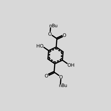 CCCCOC(=O)c1cc(O)c(C(=O)OCCCC)cc1O